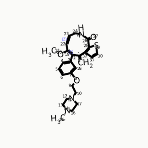 C=C1/C(c2cccc(OCCN3CCN(C)CC3)c2)=C(OC)\C=C/CNC(=O)c2sccc21